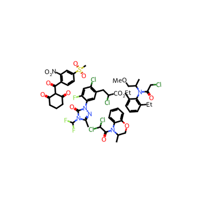 CC1COc2ccccc2N1C(=O)C(Cl)Cl.CCOC(=O)C(Cl)Cc1cc(-n2nc(C)n(C(F)F)c2=O)c(F)cc1Cl.CCc1cccc(C)c1N(C(=O)CCl)C(C)COC.CS(=O)(=O)c1ccc(C(=O)C2C(=O)CCCC2=O)c([N+](=O)[O-])c1